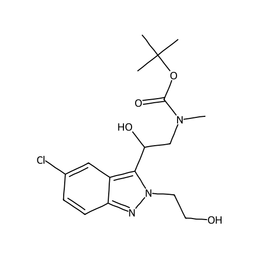 CN(CC(O)c1c2cc(Cl)ccc2nn1CCO)C(=O)OC(C)(C)C